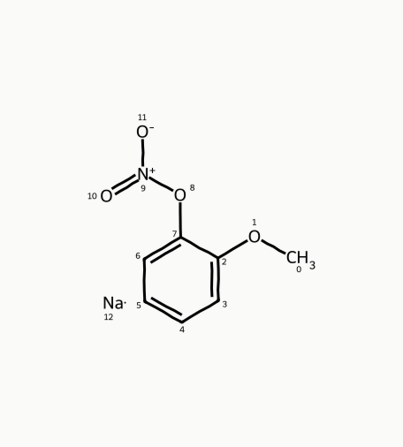 COc1ccccc1O[N+](=O)[O-].[Na]